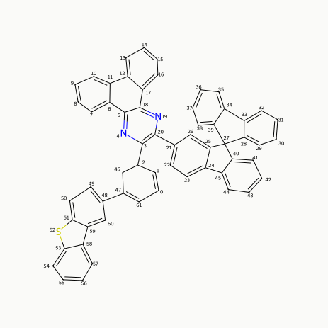 C1=CC(c2nc3c4ccccc4c4ccccc4c3nc2-c2ccc3c(c2)C2(c4ccccc4-c4ccccc42)c2ccccc2-3)CC(c2ccc3sc4ccccc4c3c2)=C1